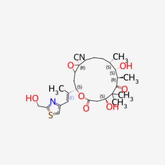 C/C(=C\c1csc(CO)n1)[C@@H]1CC2O[C@@]2(C#N)CCC[C@H](C)[C@H](O)[C@@H](C)C(=O)C(C)(C)[C@@H](O)CC(=O)O1